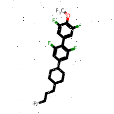 CC(C)CCCC1CCC(c2cc(F)c(-c3cc(F)c(OC(F)(F)F)c(F)c3)c(F)c2)CC1